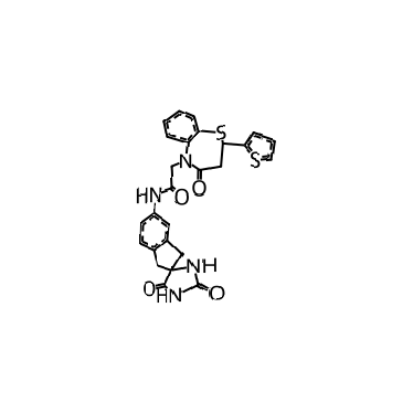 O=C(CN1C(=O)CC(c2cccs2)Sc2ccccc21)Nc1ccc2c(c1)CC1(C2)NC(=O)NC1=O